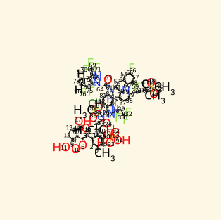 Cc1cc(CC(=O)C2[C@H](C(=O)O)CC[C@H]2C(=O)O)c(C(C)(C)CC(=O)N(c2nn(CC(F)(F)F)c3c(-c4ccc(C#CC(C)(C)S(C)(=O)=O)nc4[C@H](Cc4cc(F)cc(F)c4)NC(=O)Cn4nc(C(F)(F)F)c5c4C(F)(F)[C@@H]4C[C@H]54)ccc(Cl)c23)S(C)(=O)=O)c(OP(=O)(O)O)c1